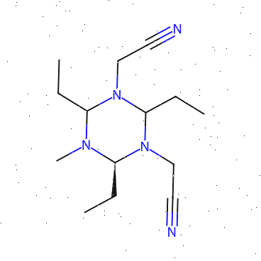 CCC1N(CC#N)C(CC)N(CC#N)[C@@H](CC)N1C